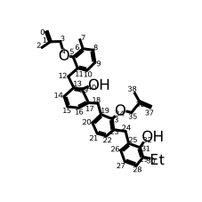 C=C(C)COc1c(C)cccc1Cc1cccc(Cc2cccc(Cc3cccc(CC)c3O)c2OCC(=C)C)c1O